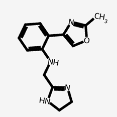 Cc1nc(-c2ccccc2NCC2=NCCN2)co1